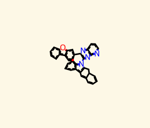 c1c(-c2nc3cccnc3nc2-n2c3c(c4ccccc42)C=C2C=CC=CC2C3)cc2oc3ccccc3c2c#1